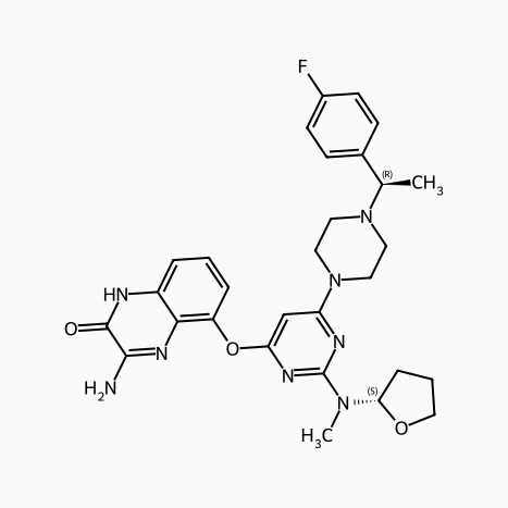 C[C@H](c1ccc(F)cc1)N1CCN(c2cc(Oc3cccc4[nH]c(=O)c(N)nc34)nc(N(C)[C@@H]3CCCO3)n2)CC1